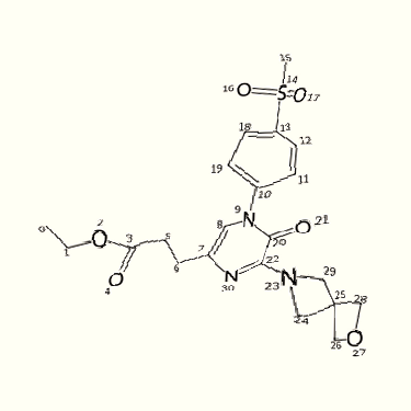 CCOC(=O)CCc1cn(-c2ccc(S(C)(=O)=O)cc2)c(=O)c(N2CC3(COC3)C2)n1